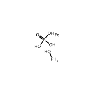 O=P(O)(O)O.OP.[Fe]